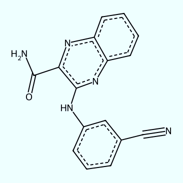 N#Cc1cccc(Nc2nc3ccccc3nc2C(N)=O)c1